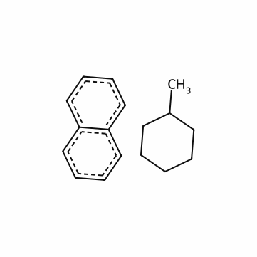 CC1CCCCC1.c1ccc2ccccc2c1